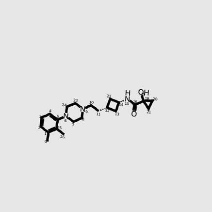 Cc1cccc(N2CCN(CC[C@H]3C[C@@H](NC(=O)C4(O)CC4)C3)CC2)c1C